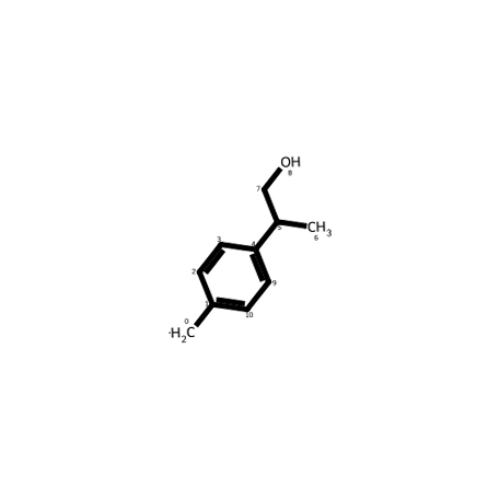 [CH2]c1ccc(C(C)CO)cc1